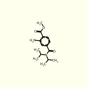 COC(=O)c1ccc(C(=O)N(C(C)C)C(C)C)cc1N